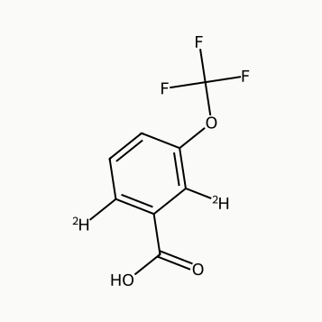 [2H]c1ccc(OC(F)(F)F)c([2H])c1C(=O)O